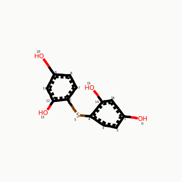 Oc1ccc(Sc2ccc(O)cc2O)c(O)c1